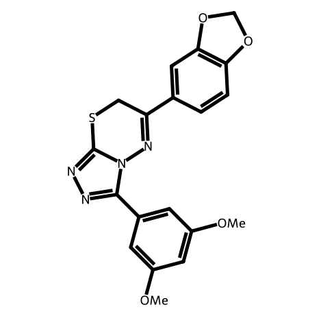 COc1cc(OC)cc(-c2nnc3n2N=C(c2ccc4c(c2)OCO4)CS3)c1